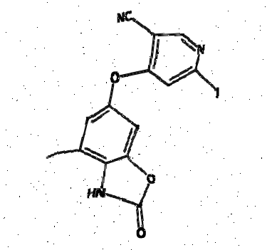 Cc1cc(Oc2cc(I)ncc2C#N)cc2oc(=O)[nH]c12